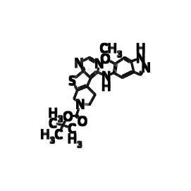 COc1cc2[nH]ncc2cc1Nc1ncnc2sc3c(c12)CCN(C(=O)OC(C)(C)C)C3